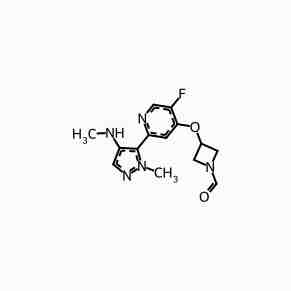 CNc1cnn(C)c1-c1cc(OC2CN(C=O)C2)c(F)cn1